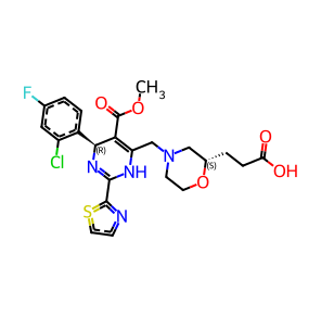 COC(=O)C1=C(CN2CCO[C@@H](CCC(=O)O)C2)NC(c2nccs2)=N[C@H]1c1ccc(F)cc1Cl